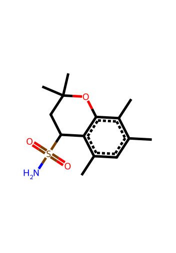 Cc1cc(C)c2c(c1C)OC(C)(C)CC2S(N)(=O)=O